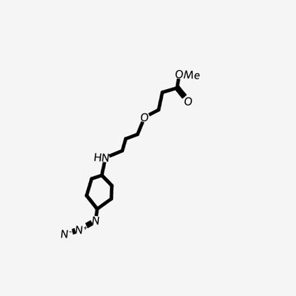 COC(=O)CCOCCCNC1CCC(N=[N+]=[N-])CC1